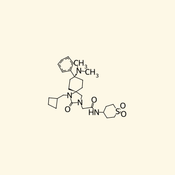 CN(C)[C@]1(c2ccccc2)CC[C@@]2(CC1)CN(CC(=O)NC1CCS(=O)(=O)CC1)C(=O)N2CC1CCC1